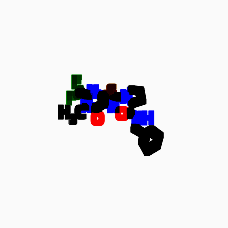 Cn1c(C(F)F)nc2sc(N3CCC[C@@H]3C(=O)NCc3ccccc3)nc2c1=O